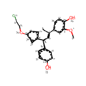 COc1cc(C(C)=CC(c2ccc(O)cc2)c2ccc(OCCCl)cc2)ccc1O